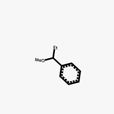 CCC(OC)c1ccccc1